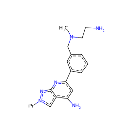 CC(C)n1cc2c(N)cc(-c3cccc(CN(C)CCN)c3)nc2n1